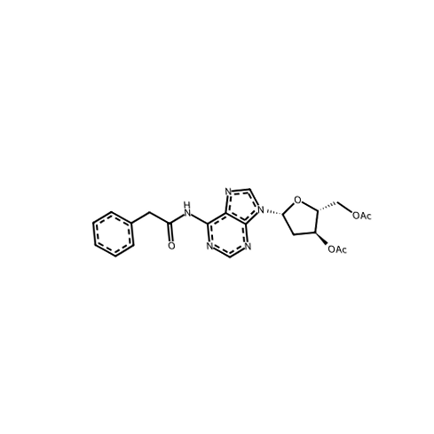 CC(=O)OC[C@H]1O[C@@H](n2cnc3c(NC(=O)Cc4ccccc4)ncnc32)C[C@@H]1OC(C)=O